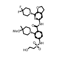 COC1(C)CCN(c2cc(NS(=O)(=O)CCO)ccc2C(=O)Nc2cc3c(c(N4CCC(F)(F)CC4)n2)OCC3)CC1